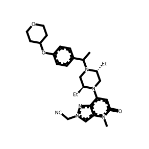 CC[C@H]1CN(C(C)c2ccc(OC3CCOCC3)cc2)[C@H](CC)CN1c1cc(=O)n(C)c2cn(CC#N)nc12